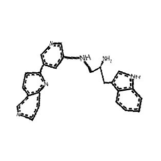 N[C@H](CNc1cncc(-c2ccc3cnccc3n2)c1)Cc1c[nH]c2ccccc12